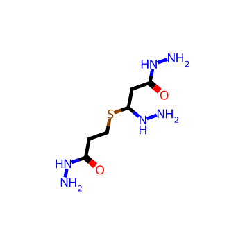 NNC(=O)CCSC(CC(=O)NN)NN